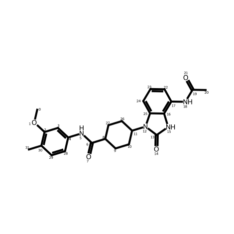 COc1cc(NC(=O)C2CCC(n3c(=O)[nH]c4c(NC(C)=O)cccc43)CC2)ccc1C